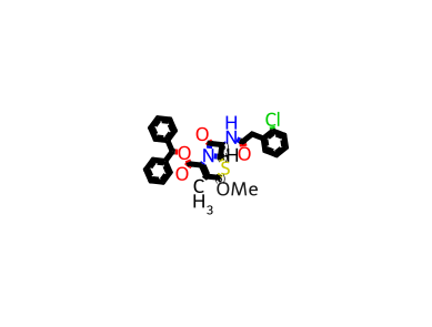 CO[C@H]1S[C@@H]2[C@@H](NC(=O)Cc3ccccc3Cl)C(=O)N2C(C(=O)OC(c2ccccc2)c2ccccc2)=C1C